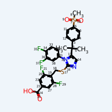 CC(C)(c1ccc(S(C)(=O)=O)cc1)c1cnc(SCc2c(F)cc(C(=O)O)cc2F)n1-c1ccc(F)c(F)c1